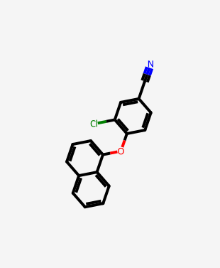 N#Cc1ccc(Oc2cccc3ccccc23)c(Cl)c1